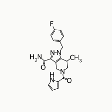 CC1CN(C(=O)c2ccc[nH]2)Cc2c(C(N)=O)nn(Cc3ccc(F)cc3)c21